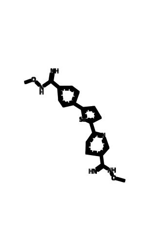 CONC(=N)c1ccc(-c2ccc(-c3ccc(C(=N)NOC)cn3)[se]2)cc1